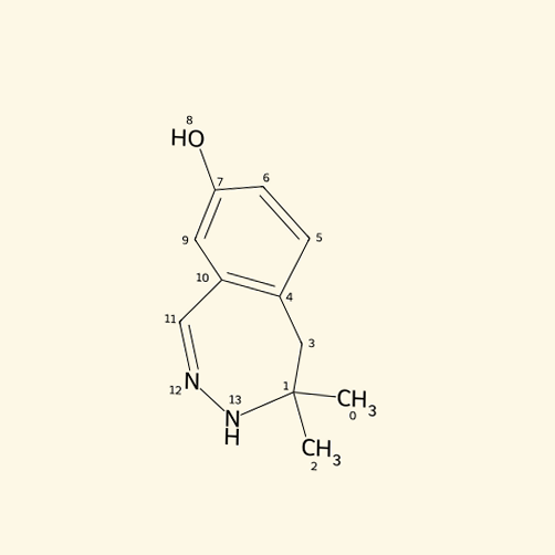 CC1(C)Cc2ccc(O)cc2C=NN1